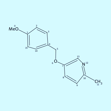 COc1ccc(COc2ccc(C)nc2)cc1